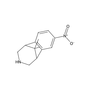 CC1(C)C2CNCC1c1cc([N+](=O)[O-])ccc12